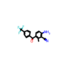 Cc1c(C(=O)c2ccc(C(F)(F)F)cc2)ccc(N)c1C#N